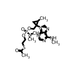 CNc1ncnc2c1ncn2C1(COP(=O)(OCCSC(C)=O)N(C)C)CC1C